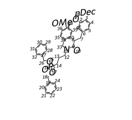 CCCCCCCCCCOc1cccc(CCC(=O)N(CCCP(=O)(OCc2ccccc2)OCc2ccccc2)Cc2ccc(OC)cc2)c1